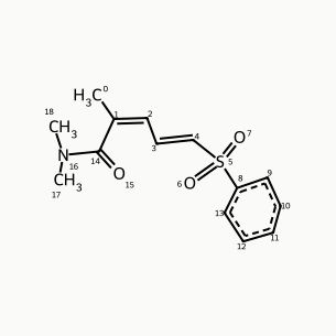 CC(=CC=CS(=O)(=O)c1ccccc1)C(=O)N(C)C